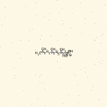 CC(C)=CCC/C(C)=C/C=C/C(C)=C/CP(=O)(O)O